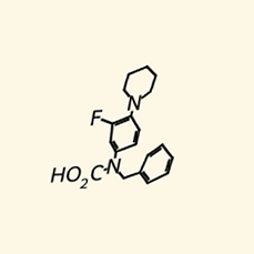 O=C(O)N(Cc1ccccc1)c1ccc(N2CCCCC2)c(F)c1